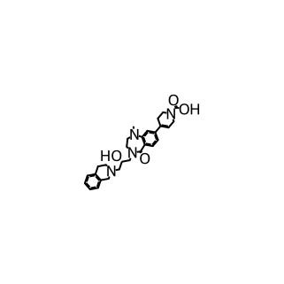 CN1CCN(CC(O)CN2CCc3ccccc3C2)C(=O)c2ccc(C3=CCN(C(=O)O)CC3)cc21